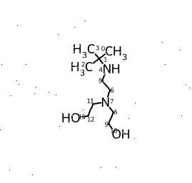 CC(C)(C)NCCN(CCO)CCO